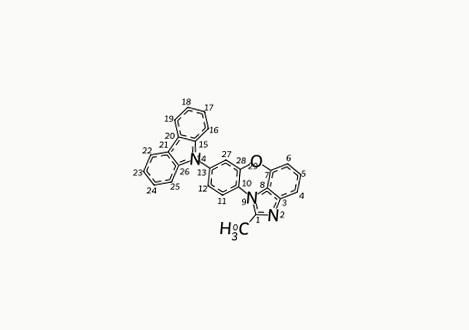 Cc1nc2cccc3c2n1-c1ccc(-n2c4ccccc4c4ccccc42)cc1O3